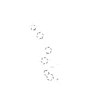 COCCn1c(Cc2cc(F)c(-c3cccc(OCc4cnc(-c5cn(C)nn5)cn4)n3)cc2F)nc2ccc(C(=O)O)cc21